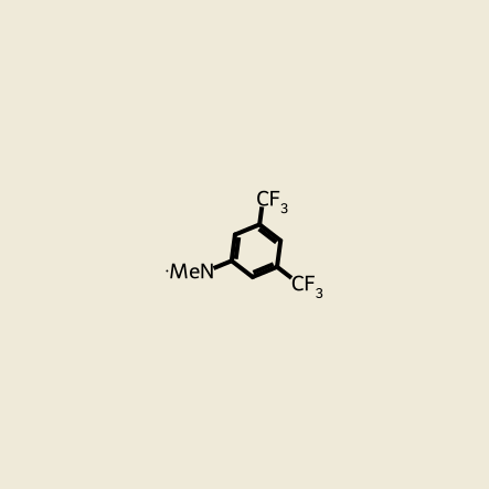 C[N]c1cc(C(F)(F)F)cc(C(F)(F)F)c1